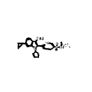 C[C@@H](NS(=O)(=O)c1ccc(-c2c(C#N)c3ccc(C4CC4)cc3n2C2CCCC2)nc1)C(F)(F)F